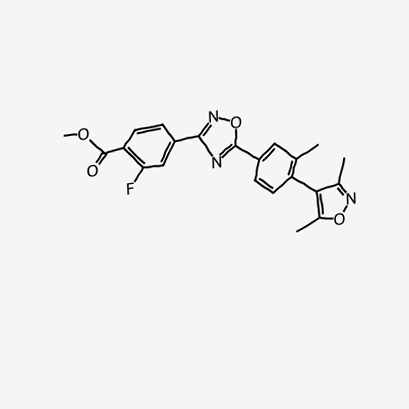 COC(=O)c1ccc(-c2noc(-c3ccc(-c4c(C)noc4C)c(C)c3)n2)cc1F